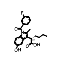 CCCC[C@H](C(=O)O)c1c(C)n(C(=O)c2cccc(F)c2)c2ccc(O)cc12